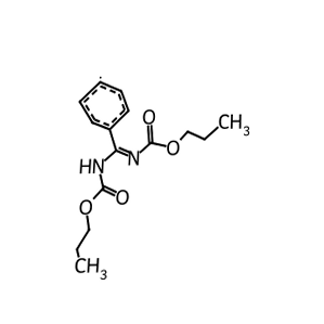 CCCOC(=O)/N=C(/NC(=O)OCCC)c1cc[c]cc1